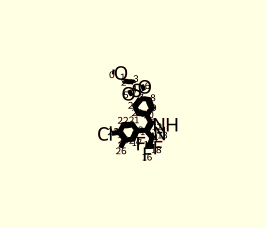 COCCS(=O)(=O)c1ccc(-c2[nH]nc(C(F)(F)F)c2-c2ccc(Cl)c(C)c2)cc1